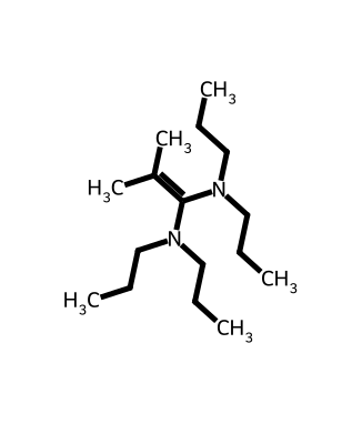 CCCN(CCC)C(=C(C)C)N(CCC)CCC